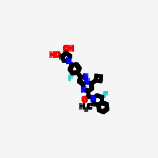 C[C@@H]1c2ccccc2C(F)CN1C(=O)c1cc(C2CCC2)n2nc(-c3ccc(N4C[C@@H](O)[C@H](O)C4)cc3F)cc2n1